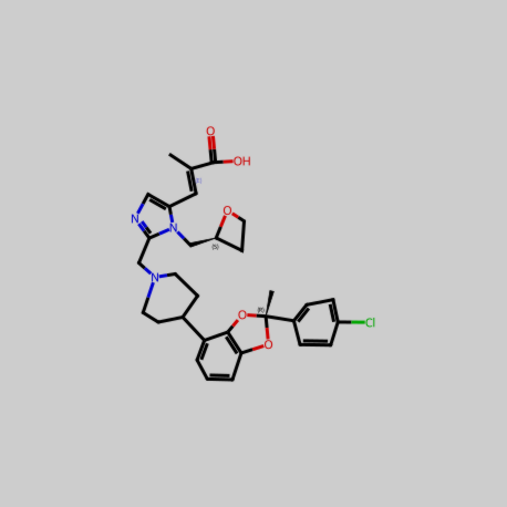 C/C(=C\c1cnc(CN2CCC(c3cccc4c3O[C@](C)(c3ccc(Cl)cc3)O4)CC2)n1C[C@@H]1CCO1)C(=O)O